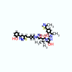 Cc1ncsc1-c1ccc([C@H](C)NC(=O)[C@@H]2C[C@@H](O)CN2C(=O)[C@@H](c2cc(N3CC4(CC(c5cc6cc(-c7ccccc7O)nnc6s5)C4)C3)no2)C(C)C)cc1